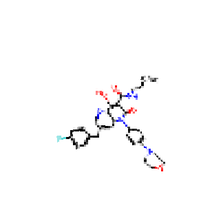 COCCNC(=O)c1c(O)c2ncc(Cc3ccc(F)cc3)cc2n(-c2ccc(N3CCOCC3)cc2)c1=O